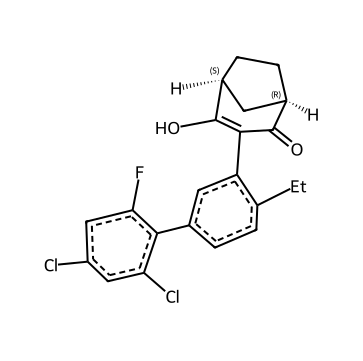 CCc1ccc(-c2c(F)cc(Cl)cc2Cl)cc1C1=C(O)[C@H]2CC[C@H](C2)C1=O